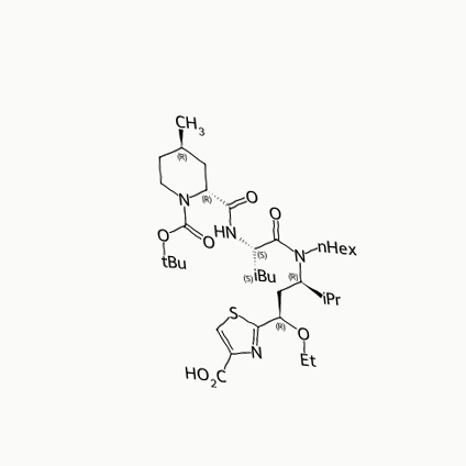 CCCCCCN(C(=O)[C@@H](NC(=O)[C@H]1C[C@H](C)CCN1C(=O)OC(C)(C)C)[C@@H](C)CC)[C@H](C[C@@H](OCC)c1nc(C(=O)O)cs1)C(C)C